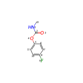 CNC(=O)Oc1ccc(F)cc1